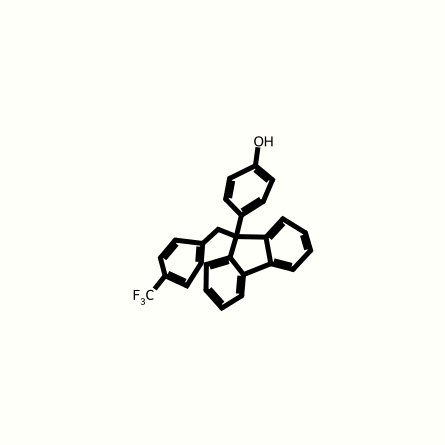 Oc1ccc(C2(Cc3ccc(C(F)(F)F)cc3)c3ccccc3-c3ccccc32)cc1